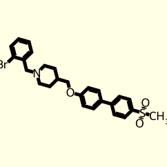 CS(=O)(=O)c1ccc(-c2ccc(OCC3CCN(Cc4ccccc4Br)CC3)cc2)cc1